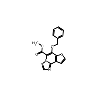 COC(=O)c1c(OCc2ccccc2)c2sccc2c2ncnn12